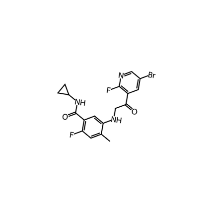 Cc1cc(F)c(C(=O)NC2CC2)cc1NCC(=O)c1cc(Br)cnc1F